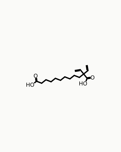 C=CC(C=C)(CCCCCCCCCC(=O)O)C(=O)O